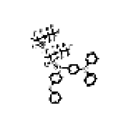 O=S(=O)([O-])C(F)(F)C(F)(F)C(F)(F)C(F)(F)F.O=S(=O)([O-])C(F)(F)C(F)(F)C(F)(F)C(F)(F)F.c1ccc([I+]c2ccc(Sc3ccc([S+](c4ccccc4)c4ccccc4)cc3)cc2)cc1